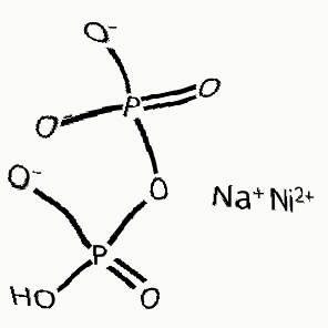 O=P([O-])([O-])OP(=O)([O-])O.[Na+].[Ni+2]